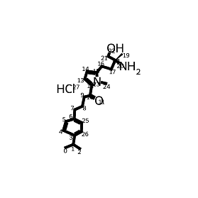 CC(C)c1ccc(CCCC(=O)c2ccc(CC[C@@](C)(N)CO)n2C)cc1.Cl